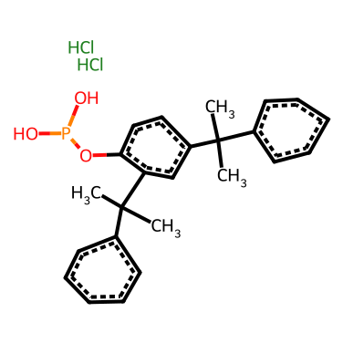 CC(C)(c1ccccc1)c1ccc(OP(O)O)c(C(C)(C)c2ccccc2)c1.Cl.Cl